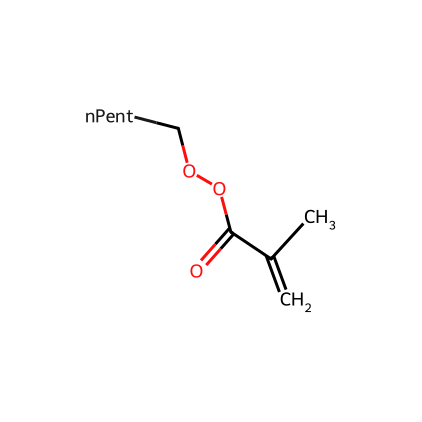 C=C(C)C(=O)OOCCCCCC